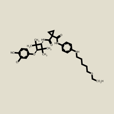 CC1(C)[C@H](NC(=O)C2(C(=O)Nc3ccc(NCCCCCOCC(=O)O)cc3)CC2)C(C)(C)[C@H]1Oc1ccc(C#N)c(Cl)c1